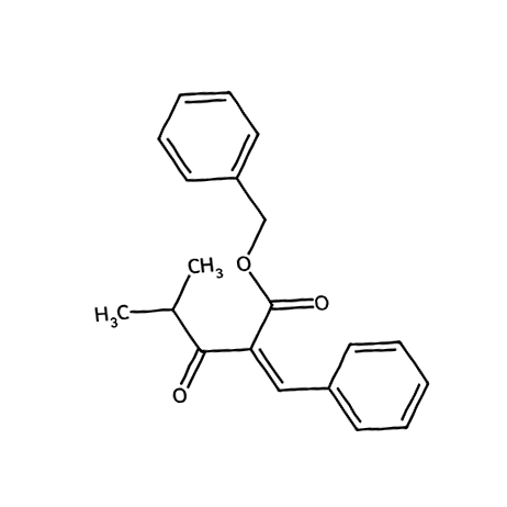 CC(C)C(=O)C(=Cc1ccccc1)C(=O)OCc1ccccc1